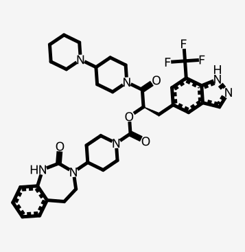 O=C(O[C@H](Cc1cc(C(F)(F)F)c2[nH]ncc2c1)C(=O)N1CCC(N2CCCCC2)CC1)N1CCC(N2CCc3ccccc3NC2=O)CC1